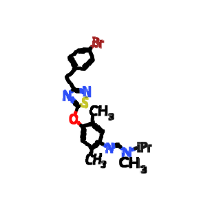 Cc1cc(Oc2nc(Cc3ccc(Br)cc3)ns2)c(C)cc1N=CN(C)C(C)C